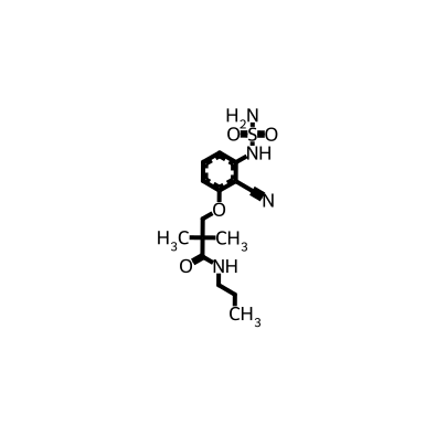 CCCNC(=O)C(C)(C)COc1cccc(NS(N)(=O)=O)c1C#N